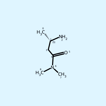 C[C@H](N)CC(=O)N(C)C